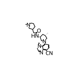 C=Nc1c(N2C[C@@H](C)C[C@@H](NC(=O)CC3CCCN(C)C3)C2)ccc(C#N)c1/N=C\C